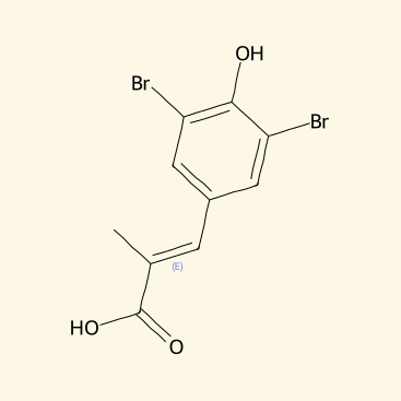 C/C(=C\c1cc(Br)c(O)c(Br)c1)C(=O)O